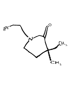 CC(C)CN1CCC(C)(C)C1=O